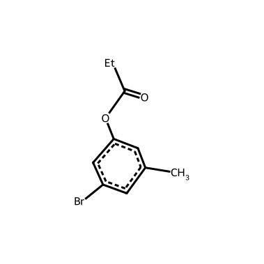 CCC(=O)Oc1cc(C)cc(Br)c1